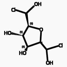 OC(Cl)[C]1O[C@H](C(O)Cl)[C@@H](O)[C@@H]1O